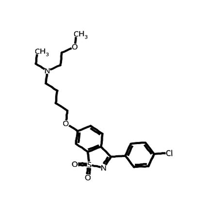 CCN(CCCCOc1ccc2c(c1)S(=O)(=O)N=C2c1ccc(Cl)cc1)CCOC